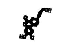 O=c1oc2cc(O)c(Cl)cc2c2ccc(C#CCO)cc12